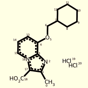 Cc1nc2c(OCC3CCCCC3)cccn2c1C(=O)O.Cl.Cl